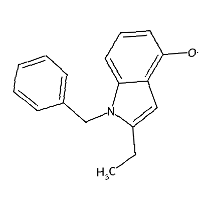 CCc1cc2c([O])cccc2n1Cc1ccccc1